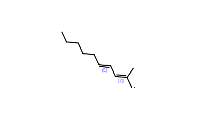 [CH2]/C(C)=C/C=C/CCCCC